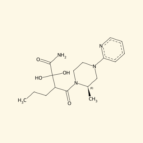 CCCC(C(=O)N1CCN(c2ccccn2)C[C@H]1C)C(O)(O)C(N)=O